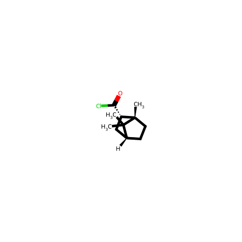 CC1(C)[C@@H]2CC[C@@]1(C)[C@@H](C(=O)Cl)C2